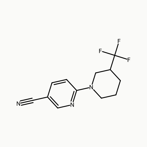 N#Cc1ccc(N2CCCC(C(F)(F)F)C2)nc1